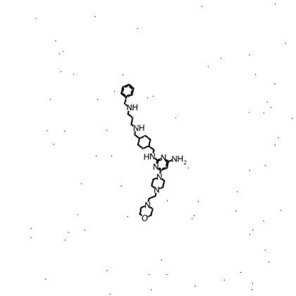 Nc1cc(N2CCN(CCN3CCOCC3)CC2)nc(NCC2CCC(CNCCCNCc3ccccc3)CC2)n1